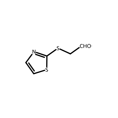 O=[C]CSc1nccs1